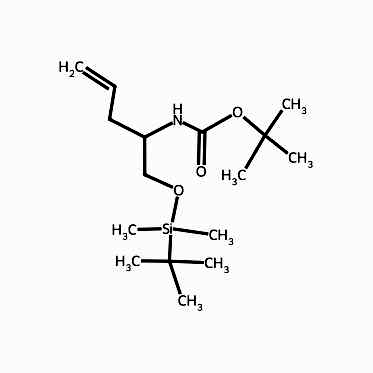 C=CCC(CO[Si](C)(C)C(C)(C)C)NC(=O)OC(C)(C)C